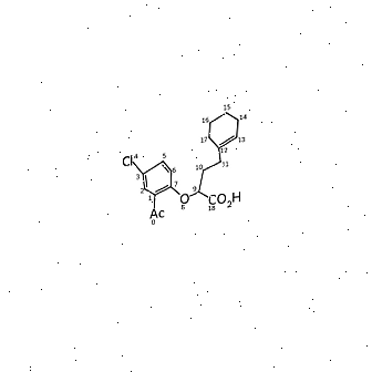 CC(=O)c1cc(Cl)ccc1OC(CCC1=CCCCC1)C(=O)O